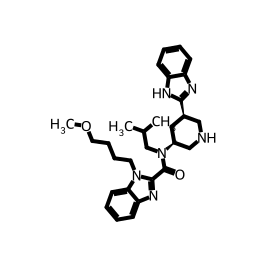 COCCCCn1c(C(=O)N(CC(C)C)[C@@H]2CNC[C@H](c3nc4ccccc4[nH]3)C2)nc2ccccc21